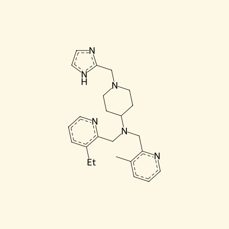 CCc1cccnc1CN(Cc1ncccc1C)C1CCN(Cc2ncc[nH]2)CC1